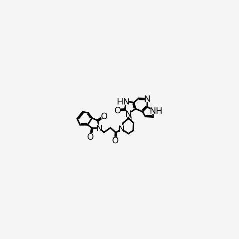 O=C(CCN1C(=O)c2ccccc2C1=O)N1CCC[C@@H](n2c(=O)[nH]c3cnc4[nH]ccc4c32)C1